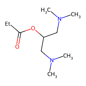 CCC(=O)OC(CN(C)C)CN(C)C